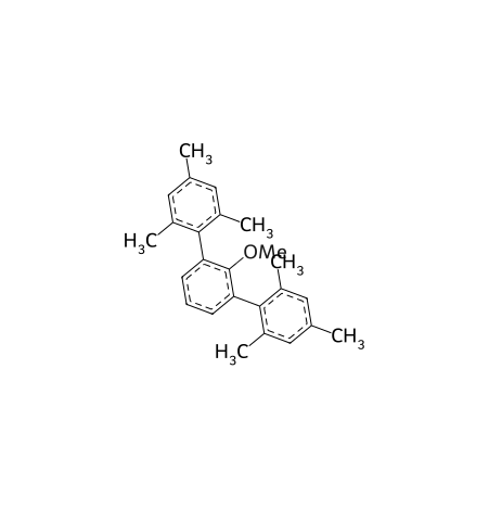 COc1c(-c2c(C)cc(C)cc2C)cccc1-c1c(C)cc(C)cc1C